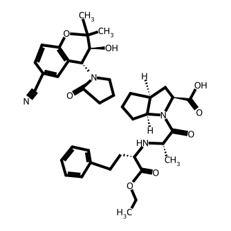 CC1(C)Oc2ccc(C#N)cc2[C@@H](N2CCCC2=O)[C@@H]1O.CCOC(=O)[C@H](CCc1ccccc1)N[C@@H](C)C(=O)N1[C@H](C(=O)O)C[C@@H]2CCC[C@@H]21